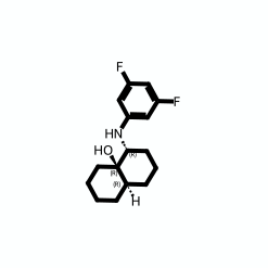 O[C@]12CCCC[C@@H]1CCC[C@H]2Nc1cc(F)cc(F)c1